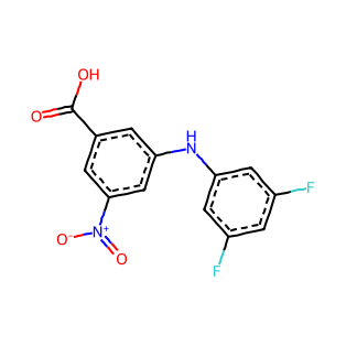 O=C(O)c1cc(Nc2cc(F)cc(F)c2)cc([N+](=O)[O-])c1